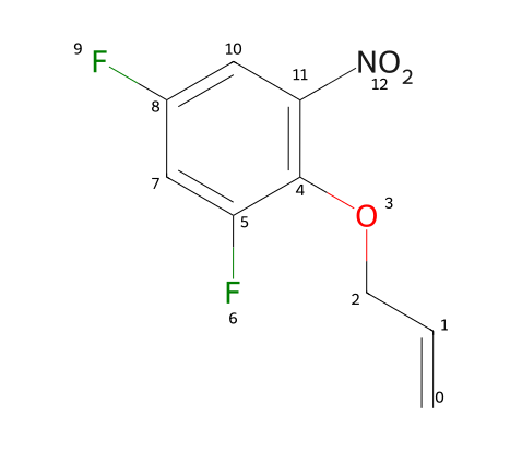 C=CCOc1c(F)cc(F)cc1[N+](=O)[O-]